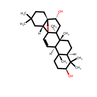 CC1(C)CC[C@]23CO[C@@]4(C=C[C@@H]5[C@@]6(C)CC[C@H](O)C(C)(C)[C@@H]6CC[C@@]5(C)[C@]4(C)C[C@H]2O)[C@@H]3C1